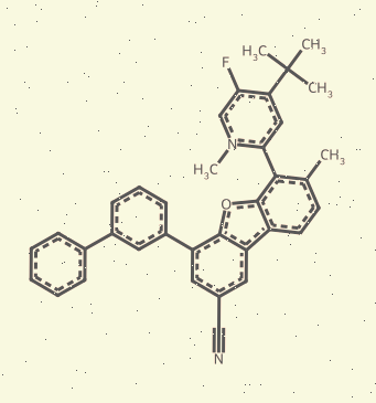 Cc1ccc2c(oc3c(-c4cccc(-c5ccccc5)c4)cc(C#N)cc32)c1-c1cc(C(C)(C)C)c(F)c[n+]1C